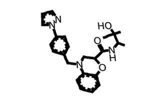 CC(NC(=O)C1CN(Cc2ccc(-n3cccn3)cc2)c2ccccc2O1)C(C)(C)O